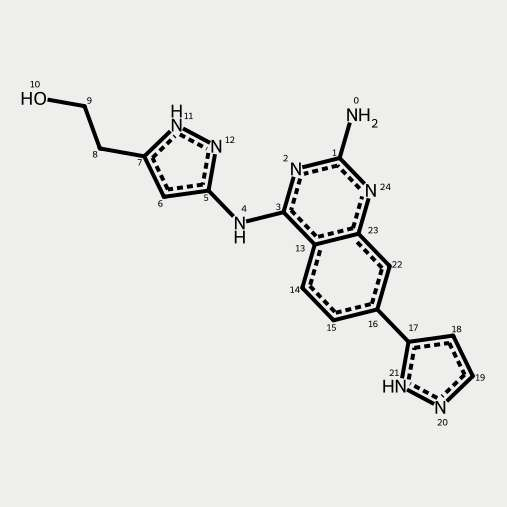 Nc1nc(Nc2cc(CCO)[nH]n2)c2ccc(-c3ccn[nH]3)cc2n1